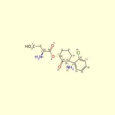 N[C@@H](CC(=O)O)C(=O)O[C@@H]1CCC[C@@](N)(c2ccccc2Cl)C1=O